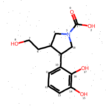 O=C(O)N1CC(CCO)C(c2cccc(O)c2O)C1